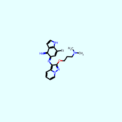 CCC1=C/C(=N\c2c(OCCCN(C)C)nn3ccccc23)C(=N)c2cc[nH]c21